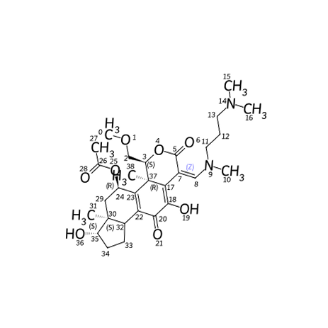 COC[C@H]1OC(=O)/C(=C\N(C)CCCN(C)C)C2=C(O)C(=O)C3=C([C@H](OC(C)=O)C[C@@]4(C)C3CC[C@@H]4O)[C@]21C